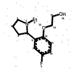 CCN1CCCC1c1cc(F)ccc1OCCO